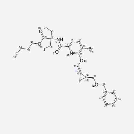 CCC(CC)(NC(=O)c1ccc(Br)c(O/C=C2/C[C@@H]2COCc2ccccc2)n1)C(=O)OCCCF